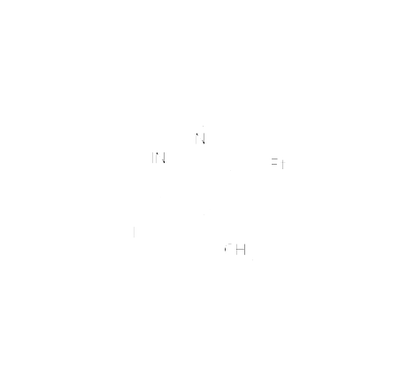 CCc1n[nH]c(I)c1C